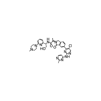 Cc1nccc(Nc2ncc(Cl)c(-c3ccc4c(c3)C(=O)N([C@H](C)C(=O)NC(CO)c3cccc(N5CCN(C)CC5)n3)C4)n2)n1